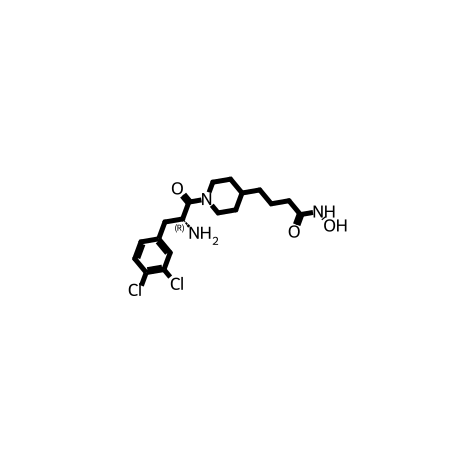 N[C@H](Cc1ccc(Cl)c(Cl)c1)C(=O)N1CCC(CCCC(=O)NO)CC1